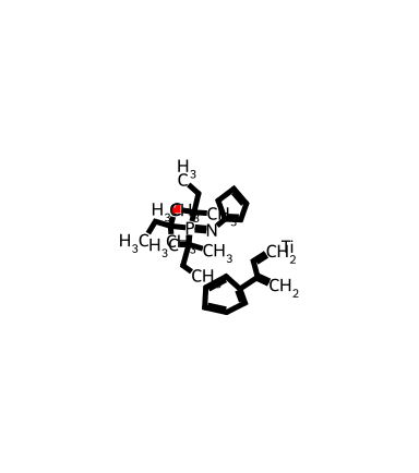 C=CC(=C)c1ccccc1.CCC(C)(C)P(=NC1=CC=CC1)(C(C)(C)CC)C(C)(C)CC.[Ti]